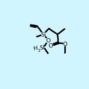 C=C[Si](C)(CC(C)C(=O)OC)O[SiH2]C